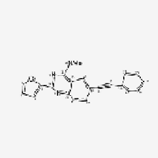 CNc1nc(-c2ccco2)nc2ccc(C#Cc3ccccc3)cc12